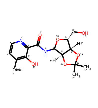 COc1ccnc(C(=O)NC2O[C@H](CO)[C@H]3OC(C)(C)O[C@@H]23)c1O